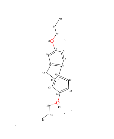 CCCOc1ccc2c(c1)Cc1cc(OCCC)ccc1-2